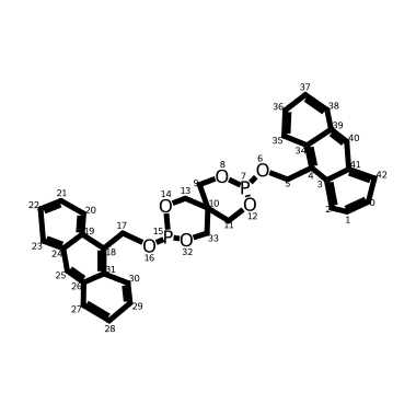 c1ccc2c(COP3OCC4(CO3)COP(OCc3c5ccccc5cc5ccccc35)OC4)c3ccccc3cc2c1